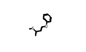 CSC(C)CCOc1cc[c]cc1